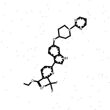 CCOC(=O)c1ccc(-c2c[nH]c3cc(OC4CCN(c5ncccn5)CC4)ccc23)nc1C(F)(F)F